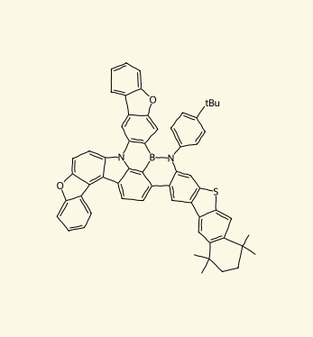 CC(C)(C)c1ccc(N2B3c4cc5oc6ccccc6c5cc4-n4c5ccc6oc7ccccc7c6c5c5ccc(c3c54)-c3cc4c(cc32)sc2cc3c(cc24)C(C)(C)CCC3(C)C)cc1